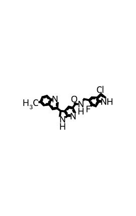 Cc1ccc2ncc(C3CNc4ncc(C(=O)NCc5cc6c(Cl)c[nH]c6cc5F)cc43)cc2c1